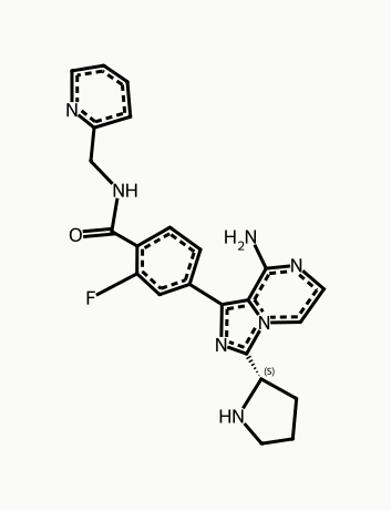 Nc1nccn2c([C@@H]3CCCN3)nc(-c3ccc(C(=O)NCc4ccccn4)c(F)c3)c12